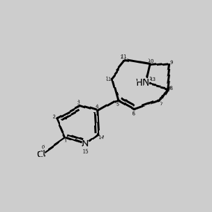 Clc1ccc(C2=CCC3CC(CC2)N3)cn1